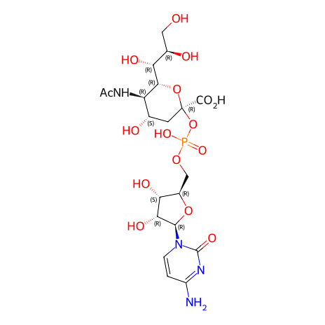 CC(=O)N[C@H]1[C@H]([C@H](O)[C@H](O)CO)O[C@](OP(=O)(O)OC[C@H]2O[C@@H](n3ccc(N)nc3=O)[C@H](O)[C@@H]2O)(C(=O)O)C[C@@H]1O